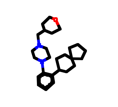 c1ccc(N2CCN(CC3CCOCC3)CC2)c(C2CCC3(CCCC3)CC2)c1